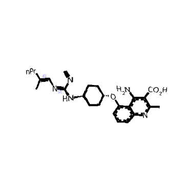 C=N/C(=N\C=C(/C)CCC)N[C@H]1CC[C@H](Oc2cccc3nc(C)c(C(=O)O)c(N)c23)CC1